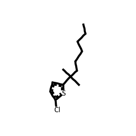 CCCCCCC(C)(C)c1ccc(Cl)s1